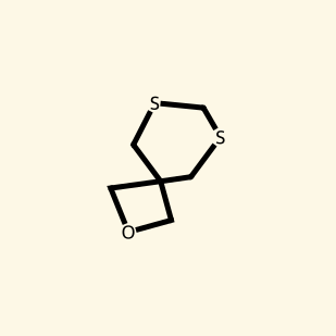 C1SCC2(COC2)CS1